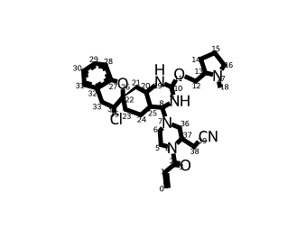 C=CC(=O)N1CCN(C2NC(OCC3CCCN3C)NC3C[C@]4(CCC32)Oc2ccccc2CC4Cl)CC1CC#N